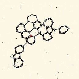 c1ccc(-n2c3ccccc3c3c(N(c4ccc(-c5ccc6oc7ccccc7c6c5)cc4)c4ccccc4-c4cccc5cccc(C6CCCCC6)c45)cccc32)cc1